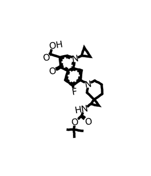 CC(C)(C)OC(=O)NC1CC12CCCN(c1cc3c(cc1F)c(=O)c(C(=O)O)cn3C1CC1)C2